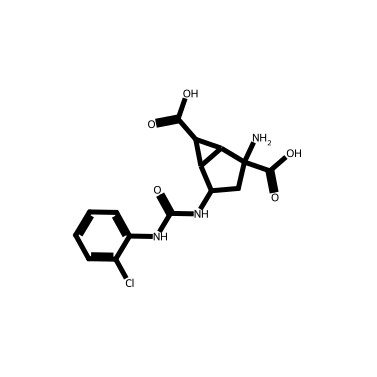 NC1(C(=O)O)CC(NC(=O)Nc2ccccc2Cl)C2C(C(=O)O)C21